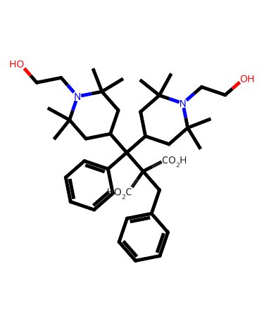 CC1(C)CC(C(c2ccccc2)(C2CC(C)(C)N(CCO)C(C)(C)C2)C(Cc2ccccc2)(C(=O)O)C(=O)O)CC(C)(C)N1CCO